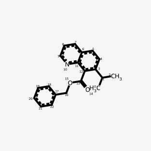 CC(C)c1ccc2cccnc2c1C(=O)OCc1ccccc1